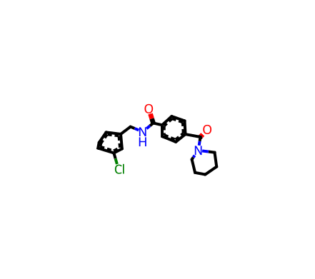 O=C(NCc1cccc(Cl)c1)c1ccc(C(=O)N2CCCCC2)cc1